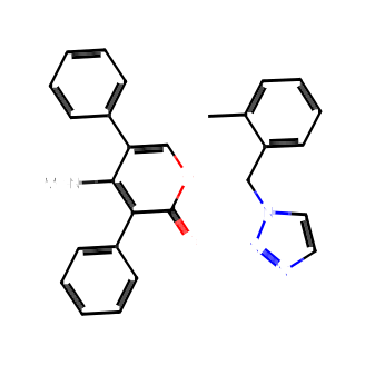 CNc1c(-c2ccccc2)coc(=O)c1-c1ccccc1.Cc1ccccc1Cn1ccnn1